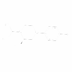 CCCC(CCC)N1CCN(c2ccc(F)cc2)C[C@H]1C